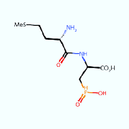 CSCC[C@H](N)C(=O)NC(C[PH](=O)O)C(=O)O